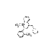 Cc1ccccc1-c1cc(CC2CCCC2)c2ccccc2[n+]1C